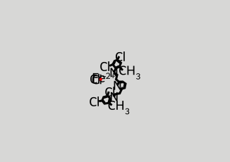 Cc1cc(Cl)cc(Cl)c1N=CCc1cccc(CC=Nc2c(C)cc(Cl)cc2Cl)n1.[Cl-].[Cl-].[Fe+2]